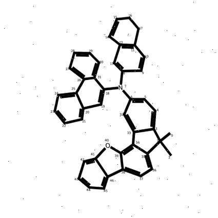 CC1(C)c2ccc(N(c3ccc4c(c3)C=CCC4)c3cc4ccccc4c4ccccc34)cc2-c2c1ccc1c2oc2ccccc21